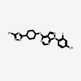 CC(C)c1noc(C2CCC(Oc3ncnc4c3cnn4-c3ccc(C#N)cc3F)CC2)n1